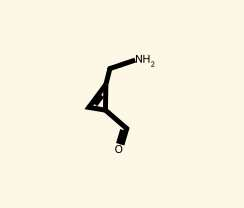 NCC1=CC1C=O